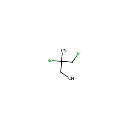 N#CCC(Br)(C#N)CBr